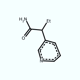 CCC(C(N)=O)c1cccnc1